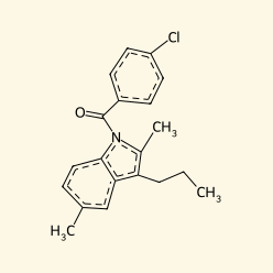 CCCc1c(C)n(C(=O)c2ccc(Cl)cc2)c2ccc(C)cc12